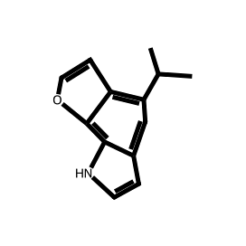 CC(C)c1cc2cc[nH]c2c2occc12